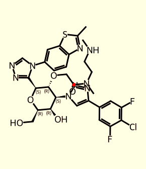 CNCCN(C)C(=O)CO[C@@H]1[C@@H](n2cc(-c3cc(F)c(Cl)c(F)c3)nn2)[C@@H](O)[C@@H](CO)O[C@H]1c1nncn1-c1ccc2nc(C)sc2c1